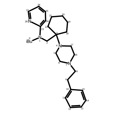 CCC(C)N(CC1(N2CCN(CCc3ccccc3)CC2)CCCCC1)c1ccccn1